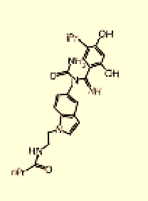 CCCC(=O)NCCn1ccc2cc(N(C(=N)c3cc(C(C)C)c(O)cc3O)C(N)=O)ccc21